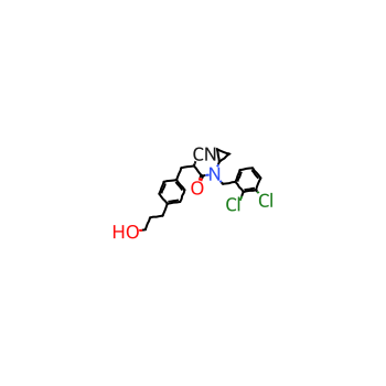 N#CC(Cc1ccc(CCCO)cc1)C(=O)N(Cc1cccc(Cl)c1Cl)C1CC1